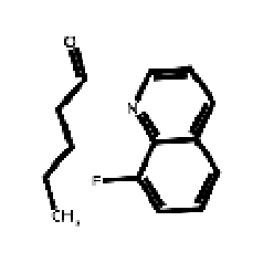 CCCCC=O.Fc1cccc2cccnc12